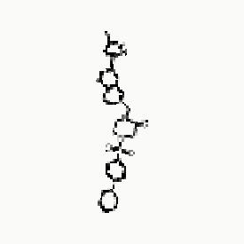 Cc1nc(-c2ccc3ccc(CN4CCN(S(=O)(=O)c5ccc(-c6ccccc6)cc5)CC4=O)cc3c2)no1